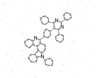 c1ccc(-c2nc(-c3ccccc3)c(-c3ccc(-c4nc5ccccc5c5c4ccc4c5c5ccccc5n4-c4ccccc4)cc3)c(-c3ccccc3)n2)cc1